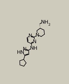 NC[C@@H]1CCCN(c2nccc(Nc3cc(C4CCCC4)[nH]n3)n2)C1